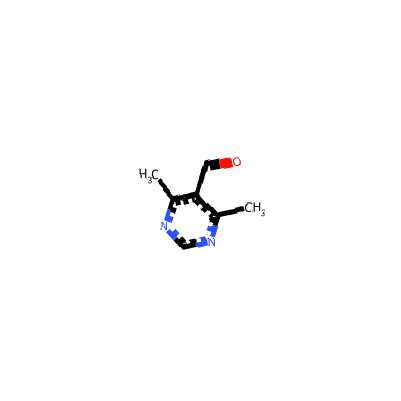 Cc1ncnc(C)c1C=O